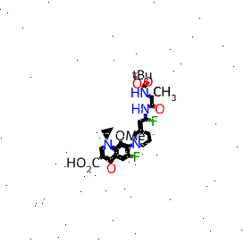 COc1c(N2CCCC(=CC(F)NC(=O)[C@H](C)NC(=O)OC(C)(C)C)C2)c(F)cc2c(=O)c(C(=O)O)cn(C3CC3)c12